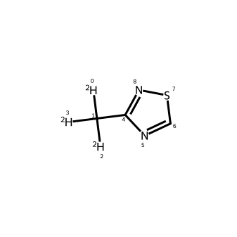 [2H]C([2H])([2H])c1ncsn1